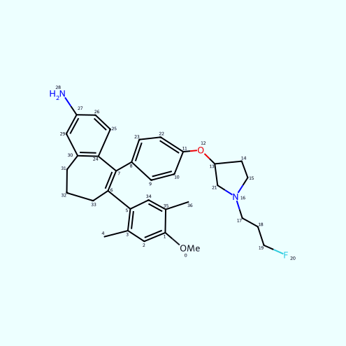 COc1cc(C)c(C2=C(c3ccc(OC4CCN(CCCF)C4)cc3)c3ccc(N)cc3CCC2)cc1C